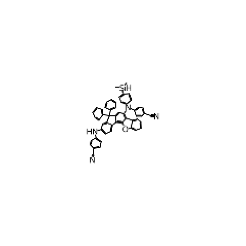 C[SiH](C)c1ccc(N(c2ccc(C#N)cc2)c2cc3c(c4oc5ccccc5c24)-c2ccc(Nc4ccc(C#N)cc4)cc2C3(c2ccccc2)c2ccccc2)cc1